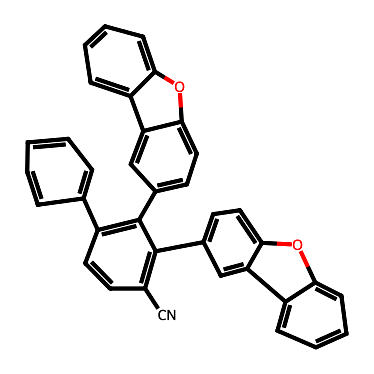 N#Cc1ccc(-c2ccccc2)c(-c2ccc3oc4ccccc4c3c2)c1-c1ccc2oc3ccccc3c2c1